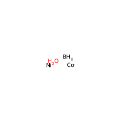 B.O.[Co].[Ni]